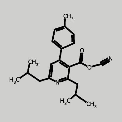 Cc1ccc(-c2cc(CC(C)C)nc(CC(C)C)c2C(=O)OC#N)cc1